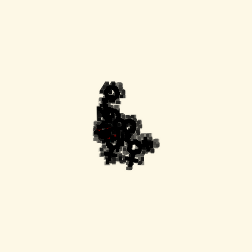 CC(C)(C)c1cc(P(c2cc(C(C)(C)C)cc(C(C)(C)C)c2)c2cccc3c2C2(CCc4cccc(C5=NC(Cc6ccccc6)CO5)c42)CC3)cc(C(C)(C)C)c1